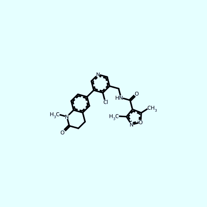 Cc1noc(C)c1C(=O)NCc1cncc(-c2ccc3c(c2)CCC(=O)N3C)c1Cl